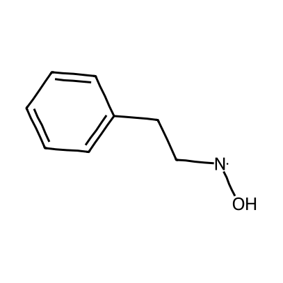 O[N]CCc1ccccc1